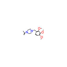 C=C(C)N1CCN(Cc2ccc(OC)c(OC)c2OC)CC1